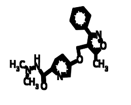 Cc1onc(-c2ccccc2)c1COc1ccc(C(=O)NN(C)C)nc1